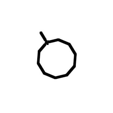 CN1CCCCCCCCC1